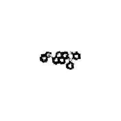 Ic1ccccc1N(c1ccccc1)c1ccc2ccc3c(N4CCc5ccccc54)ccc4ccc1c2c43